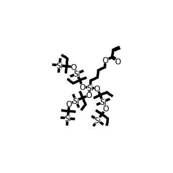 C=CC(=O)OCCCC[Si](OC(C)(CC)[Si](C)(C)OC(C)(C)[Si](C)(C)C)(OC(C)(CC)[Si](C)(C)OC(C)(CC)[Si](C)(C)C)OC(C)(CC)[Si](C)(C)OC(C)(CC)[Si](C)(C)C